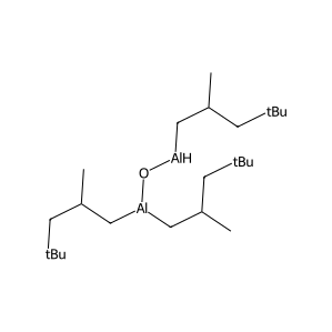 CC([CH2][AlH][O][Al]([CH2]C(C)CC(C)(C)C)[CH2]C(C)CC(C)(C)C)CC(C)(C)C